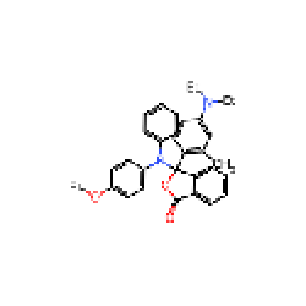 CCOc1ccc(N(c2ccccc2)C2(c3ccc(N(CC)CC)cc3C)OC(=O)c3ccccc32)cc1